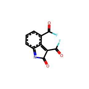 O=C(F)C1=c2c(C(=O)F)cccc2=NC1=O